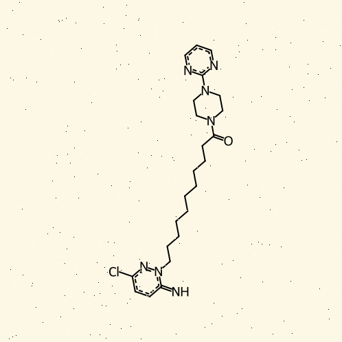 N=c1ccc(Cl)nn1CCCCCCCCCCC(=O)N1CCN(c2ncccn2)CC1